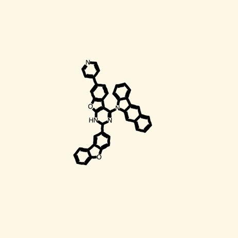 c1ccc2cc3c(cc2c1)c1ccccc1n3C1=NC(c2ccc3oc4ccccc4c3c2)Nc2oc3cc(-c4ccncc4)ccc3c21